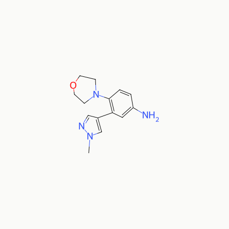 Cn1cc(-c2cc(N)ccc2N2CCOCC2)cn1